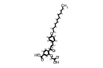 CCCCCCCCCCCCOc1ccc(/C=C/C(=O)c2ccc(C(=O)O)cc2OCC(=O)O)cc1